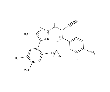 C#CC(Nc1nc(-c2cc(C)c(OC)cc2C)c(C)s1)[C@@H](CC1CC1)c1ccc(C)c(F)c1